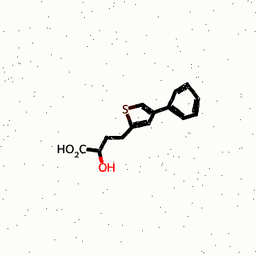 O=C(O)C(O)CCc1cc(-c2ccccc2)cs1